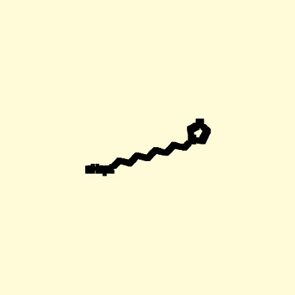 CCCCCCCCCCCCCCCn1ccnc1